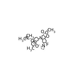 CCOC(=O)c1cn(-c2ccc(OCCN(C)C)cc2)c2cc(N3CCC[C@@H]3COc3ncccc3C)c(F)cc2c1=O